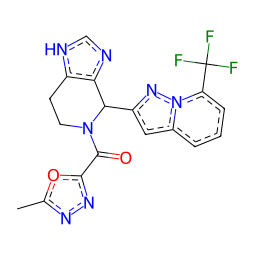 Cc1nnc(C(=O)N2CCc3[nH]cnc3C2c2cc3cccc(C(F)(F)F)n3n2)o1